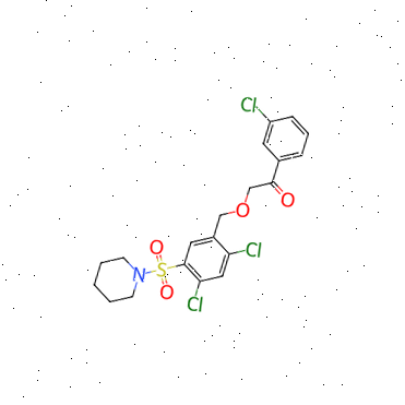 O=C(COCc1cc(S(=O)(=O)N2CCCCC2)c(Cl)cc1Cl)c1cccc(Cl)c1